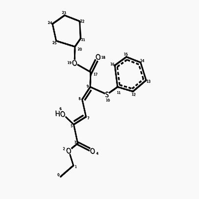 CCOC(=O)/C(O)=C/C=C(\Sc1ccccc1)C(=O)OC1CCCCC1